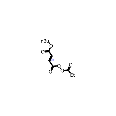 CCCCOC(=O)/C=C/C(=O)OOC(=O)CC